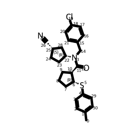 Cc1ccc(S[C@@H]2CCC[C@H]2C(=O)N(Cc2ccc(Cl)cc2)[C@@H]2CC[C@H](C#N)C2)cc1